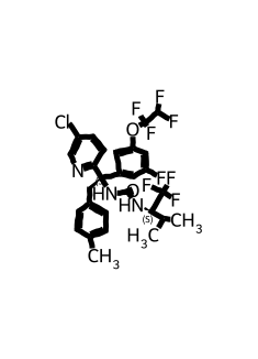 Cc1ccc(C[C@](NC(=O)N[C@@H](C(C)C)C(F)(F)F)(c2cc(F)cc(OC(F)(F)C(F)F)c2)c2ccc(Cl)cn2)cc1